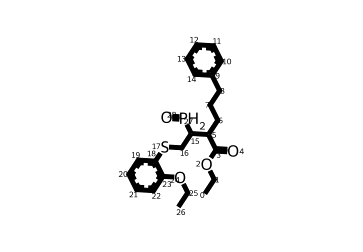 CCOC(=O)C(CCCc1ccccc1)C(CSc1ccccc1OCC)[PH2]=O